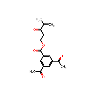 C=C(C)C(=O)CCOC(=O)c1cc(C(C)=O)cc(C(C)=O)c1